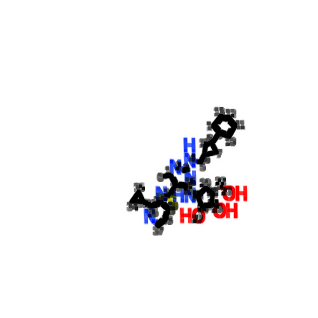 Cc1nc(NCC2CC(c3ccccc3)C2)nc(N[C@@H]2C[C@H](CO)[C@@H](O)[C@H]2O)c1-c1nc2c(C3CC3)nccc2s1